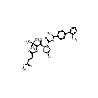 COC(=O)CCC(=O)NC(C(=O)N1C[C@H](O)C[C@H]1C(=O)NC(C)c1ccc(-c2scnc2C)cc1)C(C)(C)C